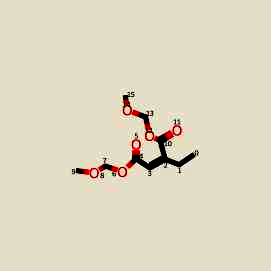 CCC(=CC(=O)OCOC)C(=O)OCOC